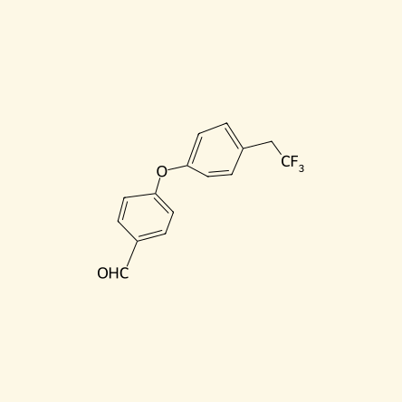 O=Cc1ccc(Oc2ccc(CC(F)(F)F)cc2)cc1